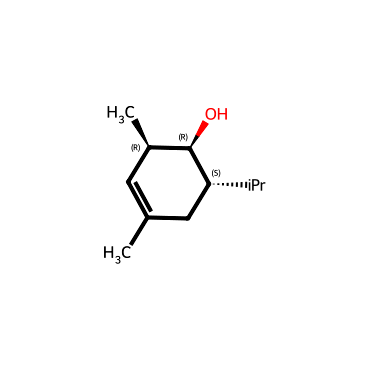 CC1=C[C@@H](C)[C@@H](O)[C@H](C(C)C)C1